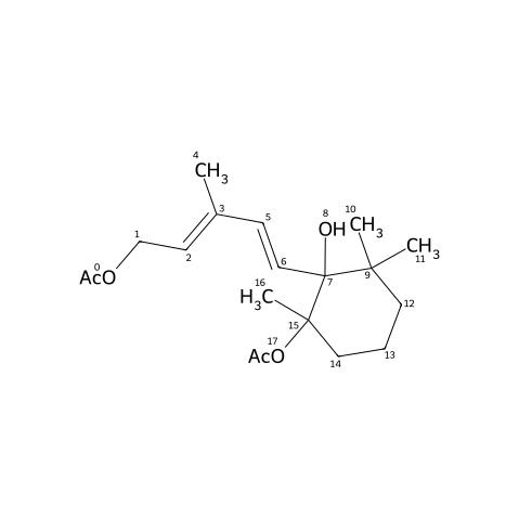 CC(=O)OCC=C(C)C=CC1(O)C(C)(C)CCCC1(C)OC(C)=O